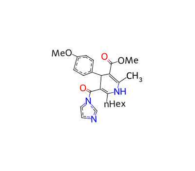 CCCCCCC1=C(C(=O)n2ccnc2)C(c2ccc(OC)cc2)C(C(=O)OC)=C(C)N1